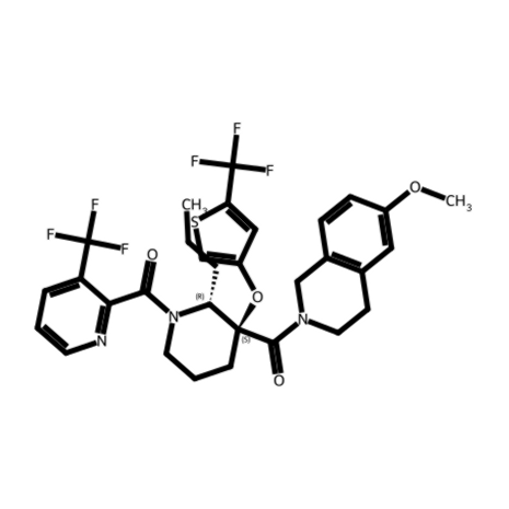 CCC[C@H]1N(C(=O)c2ncccc2C(F)(F)F)CCC[C@@]1(Oc1csc(C(F)(F)F)c1)C(=O)N1CCc2cc(OC)ccc2C1